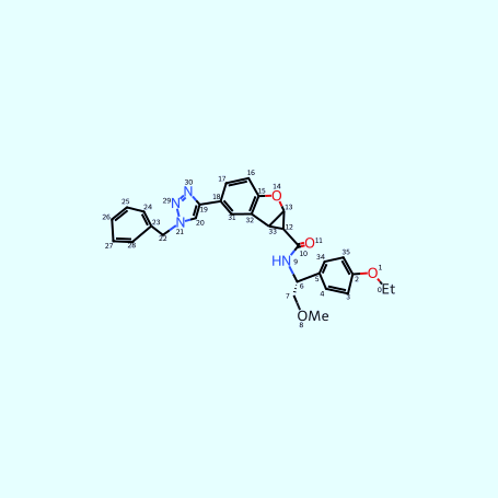 CCOc1ccc([C@H](COC)NC(=O)C2C3Oc4ccc(-c5cn(Cc6ccccc6)nn5)cc4C32)cc1